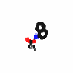 CC(=O)O/N=C1\CCCc2ccccc21